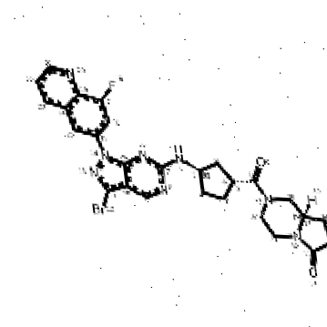 O=C([C@@H]1CC[C@@H](Nc2ncc3c(Br)nn(-c4cc(F)c5ncccc5c4)c3n2)C1)N1CCN2C(=O)CC[C@H]2C1